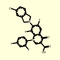 O=C(O)c1cn(-c2ccc(F)cc2F)c2c(F)c(N3Cc4ccc(Cl)cc4C3)c(F)cc2c1=O